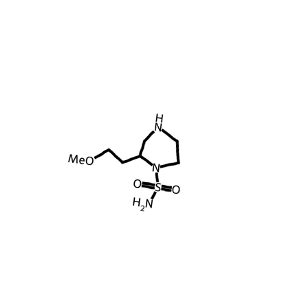 COCCC1CNCCN1S(N)(=O)=O